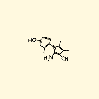 Cc1cc(O)ccc1-n1c(C)c(C)c(C#N)c1N